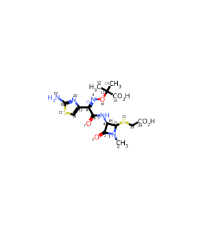 CN1C(=O)[C@@H](NC(=O)/C(=N\OC(C)(C)C(=O)O)c2csc(N)n2)C1SCC(=O)O